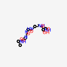 CC(Cc1cccc(CNC(=O)c2cccc(N(C)C(=O)CCN3CCC(OC(=O)Nc4ccccc4-c4ccccc4)CC3)c2)c1)NCC(=O)c1ccc(O)c2[nH]c(=O)ccc12